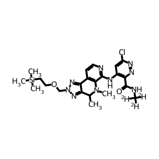 [2H]C([2H])([2H])NC(=O)c1nnc(Cl)cc1Nc1nccc2c1N(C)C(C)c1nn(COCC[Si](C)(C)C)nc1-2